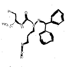 CC(C)C[C@H](NC(=O)N(CCCN=[N+]=[N-])N=C(c1ccccc1)c1ccccc1)C(=O)O